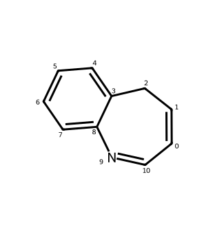 C1=CCc2ccccc2N=C1